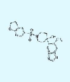 Cc1cc2ncnn2cc1C1(O)CCN(S(=O)(=O)c2ccc3c(c2)CCO3)CC1